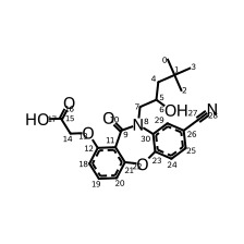 CC(C)(C)CC(O)CN1C(=O)c2c(OCC(=O)O)cccc2Oc2ccc(C#N)cc21